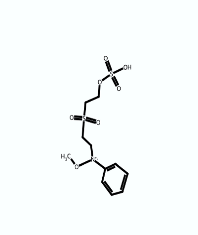 CO[N+](CCS(=O)(=O)CCOS(=O)(=O)O)c1ccccc1